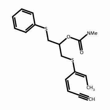 C#C/C=C\C(=C/C)SCC(CSc1ccccc1)OC(=O)NC